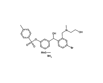 B.CSC.Cc1ccc(S(=O)(=O)Oc2cccc(C(O)c3ccc(Br)cc3CN(C)CCO)c2)cc1